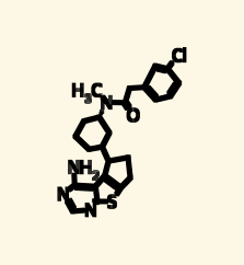 CN(C(=O)Cc1cccc(Cl)c1)[C@H]1CCCC(C2CCc3sc4ncnc(N)c4c32)C1